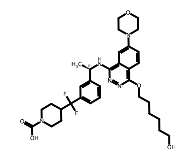 C[C@@H](Nc1nnc(OCCCCCCO)c2ccc(N3CCOCC3)cc12)c1cccc(C(F)(F)C2CCN(C(=O)O)CC2)c1